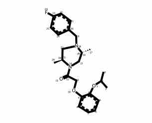 CC(C)Oc1ccccc1OCC(=O)N1C[C@@H](C)N(Cc2ccc(F)cc2)C[C@@H]1C